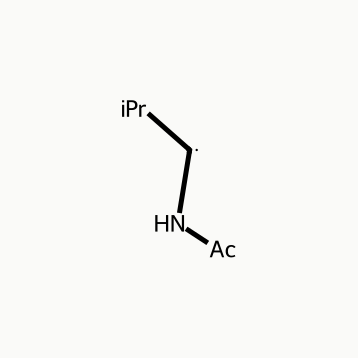 CC(=O)N[CH]C(C)C